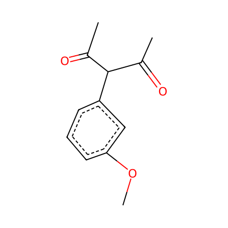 COc1cccc(C(C(C)=O)C(C)=O)c1